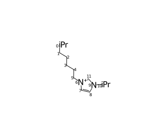 CC(C)CCCCC[n+]1ccn(C(C)C)c1